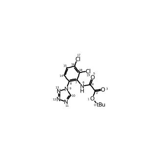 CC(C)(C)OC(=O)C(=O)Nc1c(-n2cnnn2)ccc(Cl)c1Cl